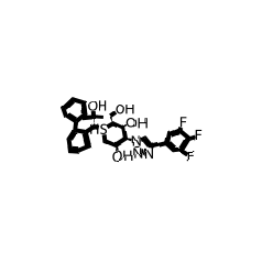 CC(C)(O)[C@@H](c1ccccc1-c1ccccc1)[SH]1C[C@H](O)[C@H](n2cc(-c3cc(F)c(F)c(F)c3)nn2)[C@@H](O)[C@H]1CO